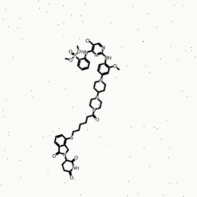 COc1cc(N2CCC(N3CCN(C(=O)CCCCCSc4cccc5c4CN(C4CCC(=O)NC4=O)C5=O)CC3)CC2)ccc1Nc1ncc(Cl)c(Nc2ccccc2P(=O)(OC)OC)n1